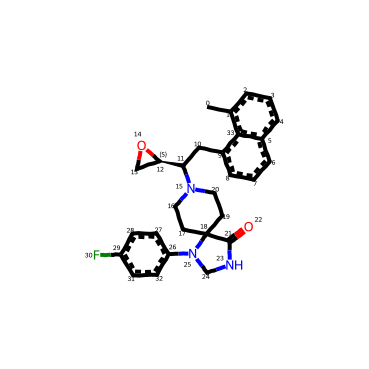 Cc1cccc2cccc(CC([C@H]3CO3)N3CCC4(CC3)C(=O)NCN4c3ccc(F)cc3)c12